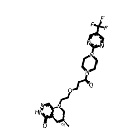 C[C@H]1Cc2c(cn[nH]c2=O)N(CCOCCC(=O)N2CCN(c3ncc(C(F)(F)F)cn3)CC2)C1